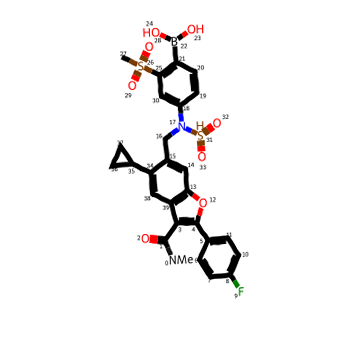 CNC(=O)c1c(-c2ccc(F)cc2)oc2cc(CN(c3ccc(B(O)O)c(S(C)(=O)=O)c3)[SH](=O)=O)c(C3CC3)cc12